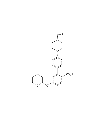 CCCCC[C@H]1CC[C@H](c2ccc(-c3cc(OC4CCCCO4)ccc3C(=O)O)cc2)CC1